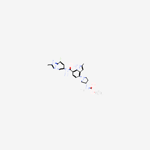 CCN(C(=O)OC(C)(C)C)[C@@H]1CCN(c2ccc(C(=O)Nc3cc(F)c4nc(C)cn4c3)c3[nH]c(C)cc23)C1